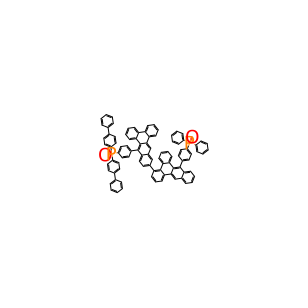 O=P(c1ccc(-c2ccccc2)cc1)(c1ccc(-c2ccccc2)cc1)c1ccc(-c2c3ccc(-c4cccc5c6cc7ccccc7c(-c7ccc(P(=O)(c8ccccc8)c8ccccc8)cc7)c6c6ccccc6c45)cc3cc3c4ccccc4c4ccccc4c23)cc1